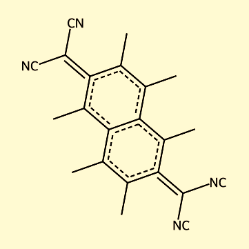 [C-]#[N+]C([N+]#[C-])=c1c(C)c(C)c2c(C)c(=C(C#N)C#N)c(C)c(C)c2c1C